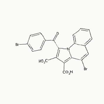 O=C(O)c1c(C(=O)O)c2c(Br)cc3ccccc3n2c1C(=O)c1ccc(Br)cc1